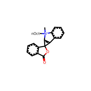 CCCCCCCC[N+]1(C)C2=C(c3ccccc31)C21OC(=O)c2ccccc21